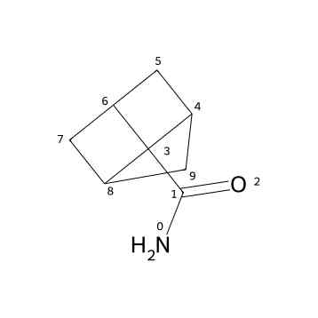 NC(=O)C12C3CC1CC2C3